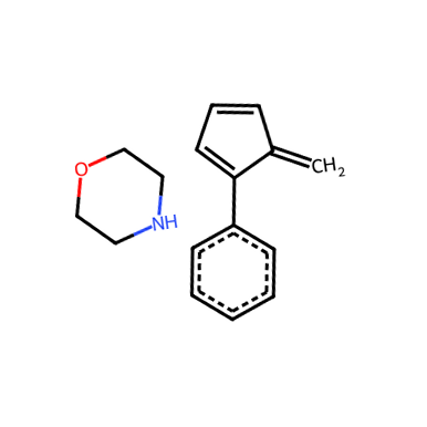 C1COCCN1.C=C1C=CC=C1c1ccccc1